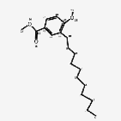 CCCCCCCCCCCc1cc(C(=O)OC)ccc1OC